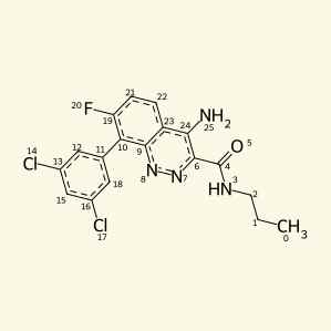 CCCNC(=O)c1nnc2c(-c3cc(Cl)cc(Cl)c3)c(F)ccc2c1N